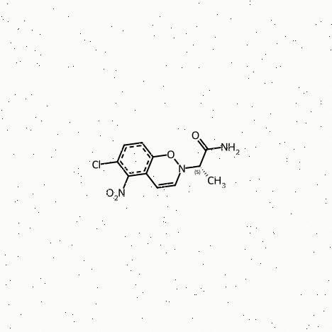 C[C@@H](C(N)=O)N1C=Cc2c(ccc(Cl)c2[N+](=O)[O-])O1